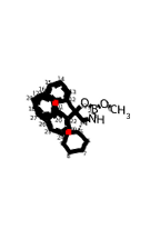 COB1N[C@H](C2CCCCC2)C(c2cccc3ccccc23)(c2cccc3ccccc23)O1